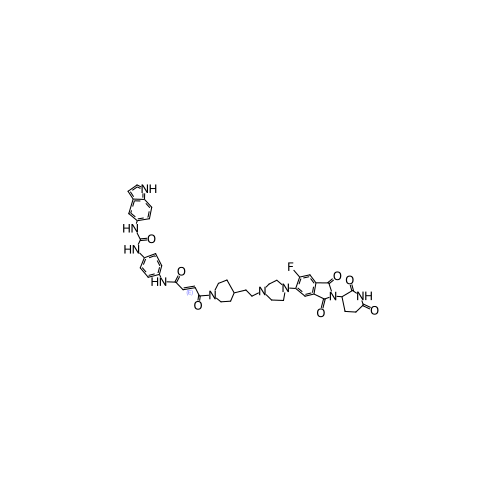 O=C(/C=C/C(=O)N1CCC(CCN2CCN(c3cc4c(cc3F)C(=O)N(C3CCC(=O)NC3=O)C4=O)CC2)CC1)Nc1ccc(NC(=O)Nc2ccc3[nH]ccc3c2)cc1